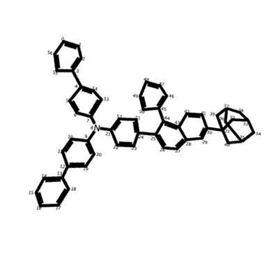 c1ccc(-c2ccc(N(c3ccc(-c4ccccc4)cc3)c3ccc(-c4ccc5cc(C67CC8CC(CC(C8)C6)C7)ccc5c4-c4ccccc4)cc3)cc2)cc1